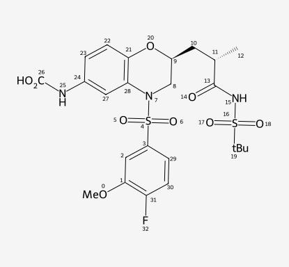 COc1cc(S(=O)(=O)N2C[C@H](C[C@H](C)C(=O)NS(=O)(=O)C(C)(C)C)Oc3ccc(NC(=O)O)cc32)ccc1F